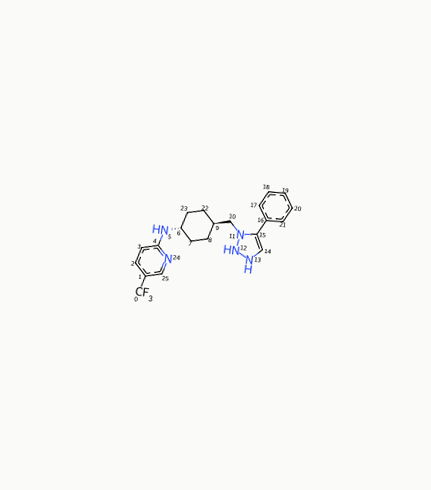 FC(F)(F)c1ccc(N[C@H]2CC[C@H](CN3NNC=C3c3ccccc3)CC2)nc1